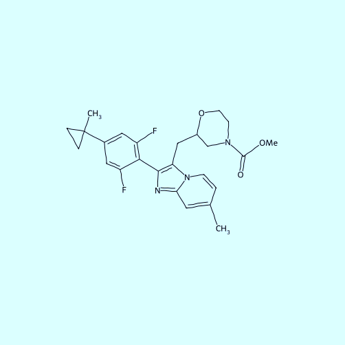 COC(=O)N1CCOC(Cc2c(-c3c(F)cc(C4(C)CC4)cc3F)nc3cc(C)ccn23)C1